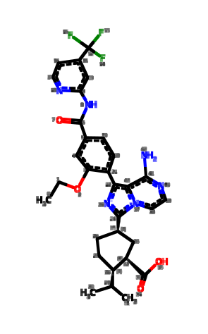 CCOc1cc(C(=O)Nc2cc(C(F)(F)F)ccn2)ccc1-c1nc([C@@H]2CC[C@H](C(C)C)[C@H](C(=O)O)C2)n2ccnc(N)c12